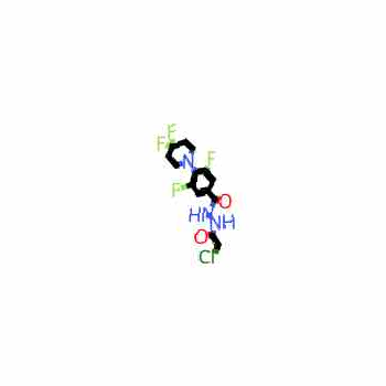 O=C(CCl)NNC(=O)c1cc(F)c(N2CCC(F)(F)CC2)c(F)c1